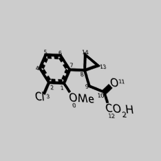 COc1c(Cl)cccc1C1(CC(=O)C(=O)O)CC1